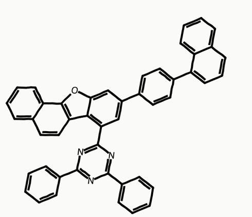 c1ccc(-c2nc(-c3ccccc3)nc(-c3cc(-c4ccc(-c5cccc6ccccc56)cc4)cc4oc5c6ccccc6ccc5c34)n2)cc1